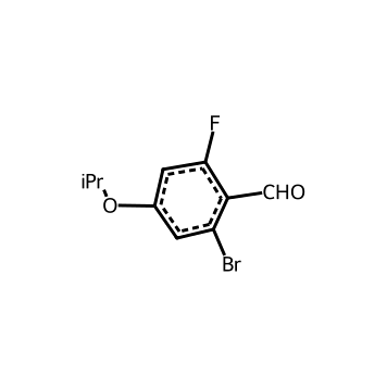 CC(C)Oc1cc(F)c(C=O)c(Br)c1